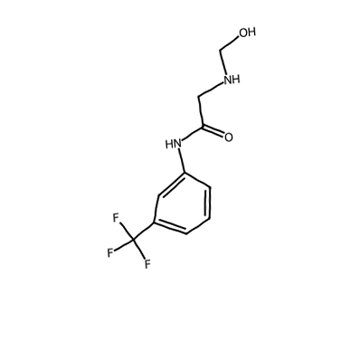 O=C(CNCO)Nc1cccc(C(F)(F)F)c1